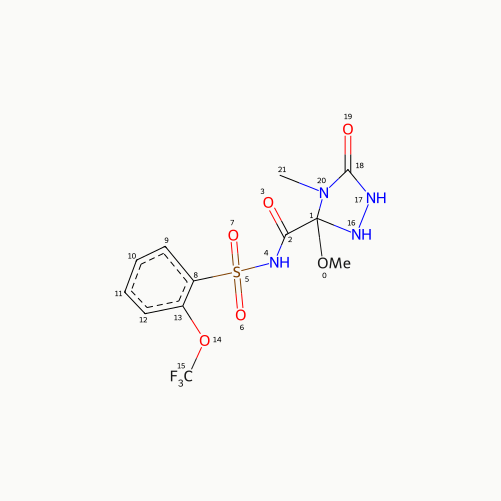 COC1(C(=O)NS(=O)(=O)c2ccccc2OC(F)(F)F)NNC(=O)N1C